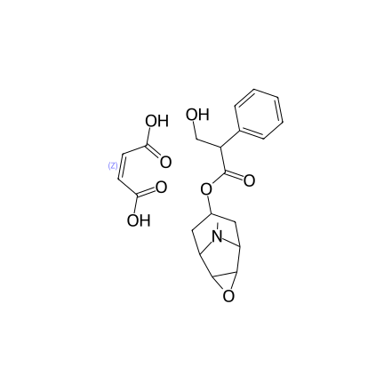 CN1C2CC(OC(=O)C(CO)c3ccccc3)CC1C1OC12.O=C(O)/C=C\C(=O)O